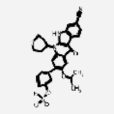 CC(C)Oc1cc2c(=O)c3c4ccc(C#N)cc4[nH]c3n(C3CCOCC3)c2cc1-c1cccc(OS(=O)(=O)F)c1